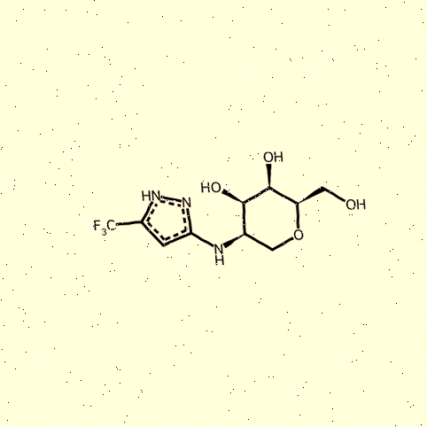 OC[C@H]1OC[C@@H](Nc2cc(C(F)(F)F)[nH]n2)[C@@H](O)[C@H]1O